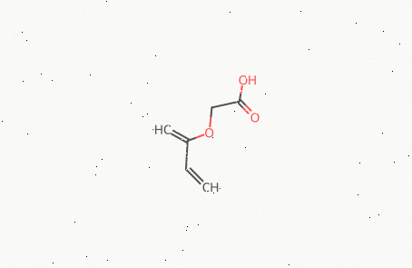 [CH]=CC(=[CH])OCC(=O)O